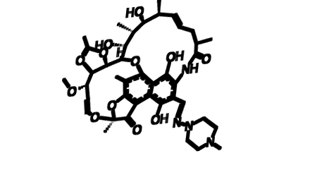 CO[C@H]1/C=C/O[C@@]2(C)Oc3c(C)c4c5c(O)c(c(/C=N/N6CCN(C)CC6)c(O)c5c3C2=O)NC(=O)C(C)C/C=C/[C@H](C)[C@H](O)[C@@H](C)[C@@H](O)[C@@H](O4)[C@H](OC(C)=O)C1C